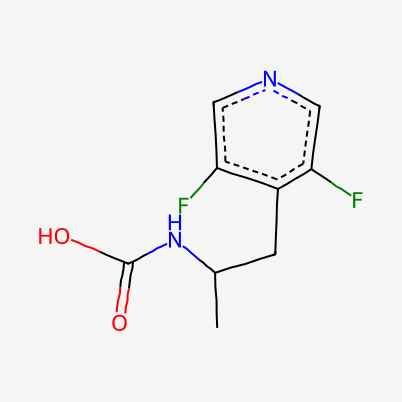 CC(Cc1c(F)cncc1F)NC(=O)O